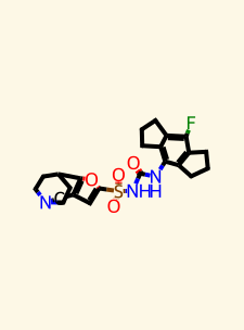 O=C(Nc1c2c(c(F)c3c1CCC3)CCC2)NS(=O)(=O)c1cc2c(o1)C1CCN(CC1)C2